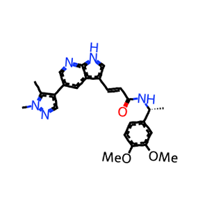 COc1ccc([C@@H](C)NC(=O)/C=C/c2c[nH]c3ncc(-c4cnn(C)c4C)cc23)cc1OC